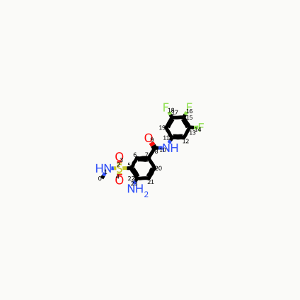 CNS(=O)(=O)c1cc(C(=O)Nc2cc(F)c(F)c(F)c2)ccc1N